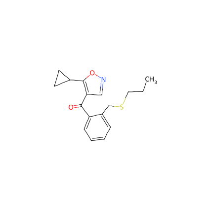 CCCSCc1ccccc1C(=O)c1cnoc1C1CC1